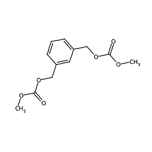 COC(=O)OCc1cccc(COC(=O)OC)c1